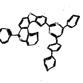 c1ccc(-c2ccc(-c3cc(-c4ccccc4)nc(-c4ccc5oc6ccc7c(-c8ccccc8)nc8ccccc8c7c6c5c4)n3)cc2)cc1